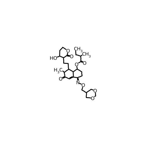 CCC(C)C(=O)OC1CCC(=NOCC2COCOC2)C2=CC(=O)C(C)C(CCC3C(=O)OCCC3O)C21